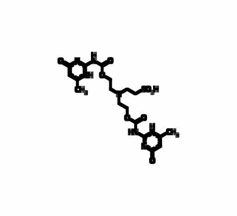 Cc1cc(=O)nc(NC(=O)OCCN(CCOC(=O)Nc2nc(=O)cc(C)[nH]2)CCS(=O)(=O)O)[nH]1